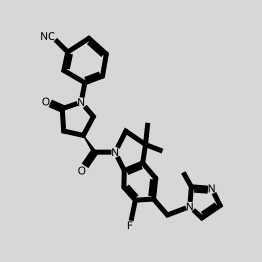 Cc1nccn1Cc1cc2c(cc1F)N(C(=O)[C@H]1CC(=O)N(c3cccc(C#N)c3)C1)CC2(C)C